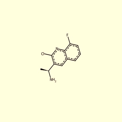 C[C@H](N)c1cc2cccc(F)c2nc1Cl